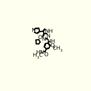 CNC(=O)c1ccc(Nc2nc(OC3CCCC3)c3c(-c4ccncc4)c[nH]c3n2)c(OC)c1